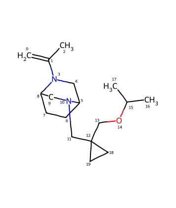 C=C(C)N1CC2CCC1CN2CC1(COC(C)C)CC1